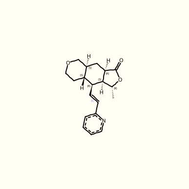 C[C@H]1OC(=O)[C@@H]2C[C@@H]3COCC[C@H]3[C@H](/C=C/c3ccccn3)[C@H]12